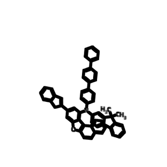 CC1(C)c2ccccc2-c2ccc(N(c3ccc(-c4ccc(-c5ccccc5)cc4)cc3)c3cc(C4=Cc5ccccc5C4)cc4oc5ccc6ccccc6c5c34)cc21